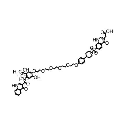 CC(C)(C)c1cc(OCCOCCOCCOCCOCCOc2ccc(C3CCN(S(=O)(=O)c4ccc5c(c4)NCN(CC(=O)O)C5=O)CC3)cc2)c(O)cc1NC(=O)c1c[nH]c2ccccc2c1=O